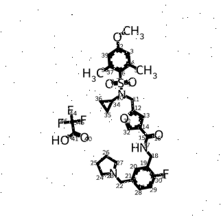 COc1cc(C)c(S(=O)(=O)N(Cc2cc(C(=O)NCc3cc(CN4CCCC4)ccc3F)co2)C2CC2)c(C)c1.O=C(O)C(F)(F)F